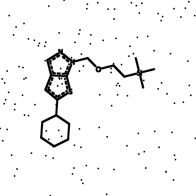 C[Si](C)(C)CCOCn1ncc2cc(C3CCCCC3)sc21